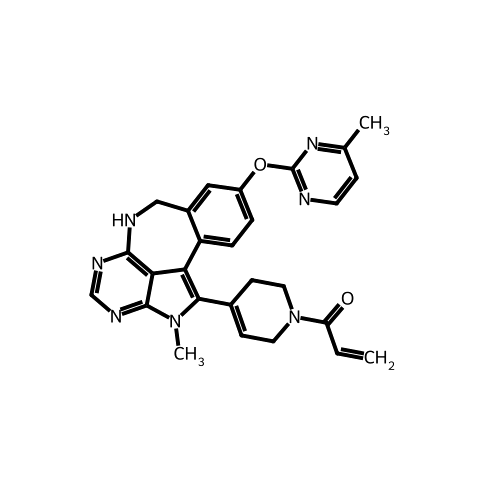 C=CC(=O)N1CC=C(c2c3c4c(ncnc4n2C)NCc2cc(Oc4nccc(C)n4)ccc2-3)CC1